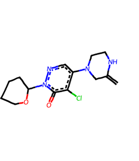 C=C1CN(c2cnn(C3CCCCO3)c(=O)c2Cl)CCN1